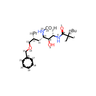 CCCCC(C)(C)C(=O)NC[C@@H](O)[C@H](C[C@H](COCc1ccccc1)C(C)C)NC(=O)O